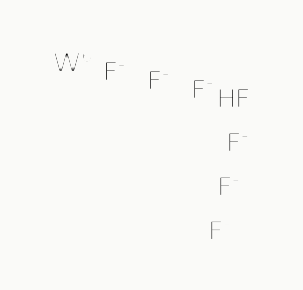 F.[F-].[F-].[F-].[F-].[F-].[F-].[W+6]